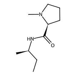 CC[C@@H](C)NC(=O)[C@@H]1CCCN1C